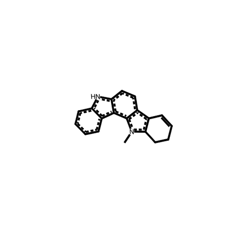 Cn1c2c(c3ccc4[nH]c5ccccc5c4c31)C=CCC2